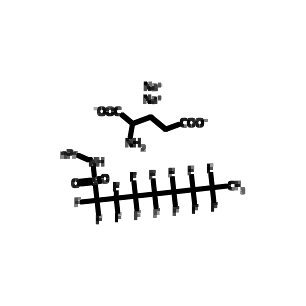 CCCNS(=O)(=O)C(F)(F)C(F)(F)C(F)(F)C(F)(F)C(F)(F)C(F)(F)C(F)(F)C(F)(F)F.NC(CCC(=O)[O-])C(=O)[O-].[Na+].[Na+]